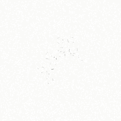 c1ccc(-c2nc(-c3ccc(-n4c5ccccc5c5c6c7ccccc7n(-c7ccccc7)c6ccc54)cc3)c3c(n2)-c2ccccc2[Si]3(c2ccccc2)c2ccccc2)cc1